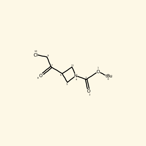 CC(C)(C)OC(=O)N1CC(C(=O)CCl)C1